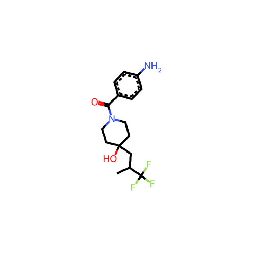 CC(CC1(O)CCN(C(=O)c2ccc(N)cc2)CC1)C(F)(F)F